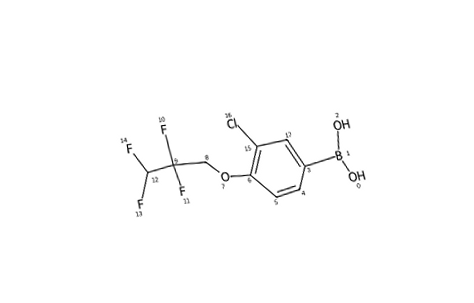 OB(O)c1ccc(OCC(F)(F)C(F)F)c(Cl)c1